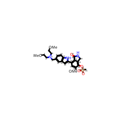 COCCN(CCOC)Cc1ccc2[nH]c(-c3cc(OC)c(OS(C)(=O)=O)c4c3C(=O)NC4)cc2c1